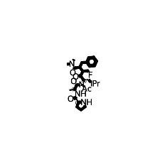 CC(=O)N(C(=O)[C@H](C)NC(=O)[C@@H]1CCCN1)[C@@H](CC(C)C)C(=O)C(CF)C(Cc1ccccc1)C(=O)N(C)C